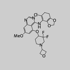 COc1cc(OC2CCN(C3COC3)CC2(F)F)c2c(NC3=C(Cl)CCC4=C3OCO4)ncnc2c1